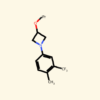 Cc1ccc(N2CC(OC(C)C)C2)cc1C(F)(F)F